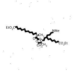 CCOC(=O)CCCCCCCCCCCN(C)C(=O)C(=O)O[C@H](C)[C@@H](C)OCCC(CCCCCCC(=O)OCC)CCCCNC